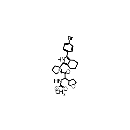 COC(=O)NC(C(=O)N1CCCC1c1[nH]c(-c2ccc(Br)cc2)c2c1CCCC2)C1CCOC1